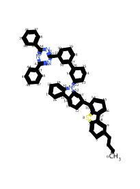 CCCCc1ccc2sc3c(-c4ccc5c6ccccc6n(-c6cccc(-c7cccc(-c8nc(-c9ccccc9)nc(-c9ccccc9)n8)c7)c6)c5c4)cccc3c2c1